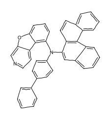 c1ccc(-c2ccc(N(c3cc4ccccc4c4c3ccc3ccccc34)c3cccc4oc5cnccc5c34)cc2)cc1